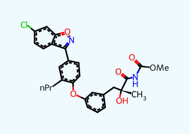 CCCc1cc(-c2noc3cc(Cl)ccc23)ccc1Oc1cccc(C[C@@](C)(O)C(=O)NC(=O)OC)c1